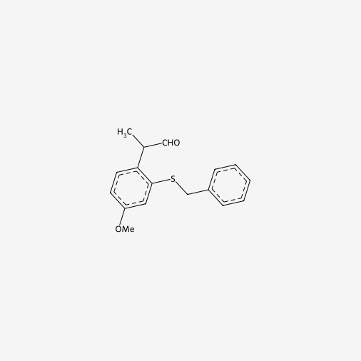 COc1ccc(C(C)C=O)c(SCc2ccccc2)c1